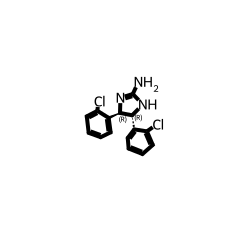 NC1=N[C@H](c2ccccc2Cl)[C@@H](c2ccccc2Cl)N1